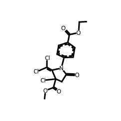 CCOC(=O)c1ccc(N2C(=O)CC(Cl)(C(=O)OC)C2=C(Cl)Cl)cc1